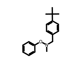 CN(Cc1ccc(C(C)(C)C)cc1)Oc1ccccc1